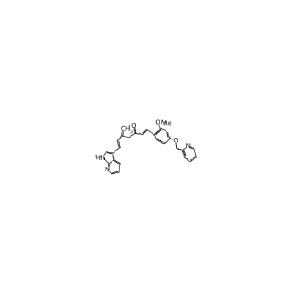 C=C(/C=C/c1c[nH]c2ncccc12)CC(=O)/C=C/c1ccc(OCc2ccccn2)cc1OC